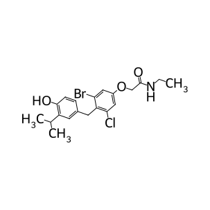 CCNC(=O)COc1cc(Cl)c(Cc2ccc(O)c(C(C)C)c2)c(Br)c1